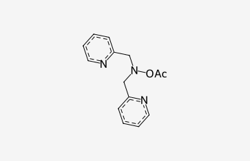 CC(=O)ON(Cc1ccccn1)Cc1ccccn1